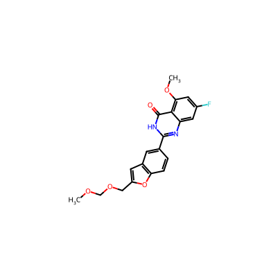 COCOCc1cc2cc(-c3nc4cc(F)cc(OC)c4c(=O)[nH]3)ccc2o1